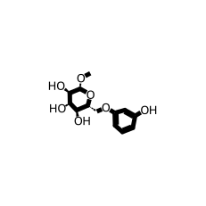 CO[C@@H]1O[C@H](COc2cccc(O)c2)[C@@H](O)[C@H](O)[C@H]1O